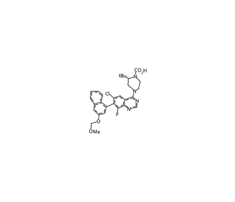 COCOc1cc(-c2c(Cl)cc3c(N4CCN(C(=O)O)C(C(C)(C)C)C4)ncnc3c2F)c2ccccc2c1